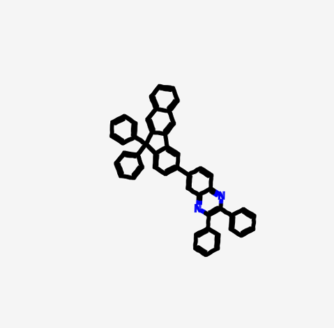 c1ccc(-c2nc3ccc(-c4ccc5c(c4)-c4cc6ccccc6cc4C5(c4ccccc4)c4ccccc4)cc3nc2-c2ccccc2)cc1